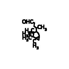 CC(CCC=O)C1CC2CC2(C)[C@@H](C)C1(C)C